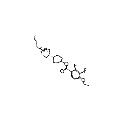 CCCC[SiH]1CCC([C@H]2CC[C@H](OC(=O)c3ccc(OCC)c(F)c3F)CC2)CC1